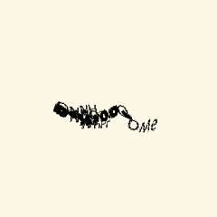 CCC[C@@H](C(=O)N1CCN(c2ccc(OCCOC)cc2)CC1)n1ncc2c1nc(N)n1nc(-c3ccco3)nc21